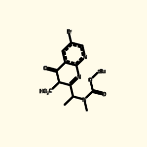 CC(C1=Nc2ncc(Br)cc2C(=O)C1C(=O)O)N(C)C(=O)OC(C)(C)C